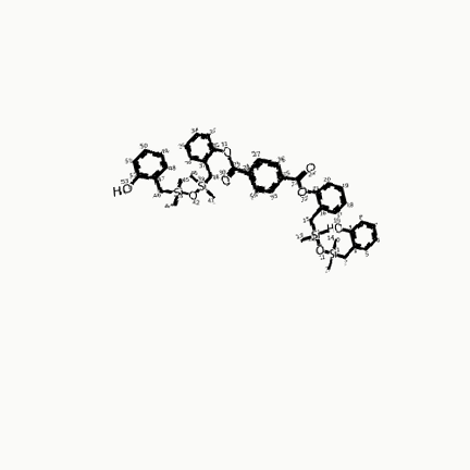 C[Si](C)(Cc1ccccc1O)O[Si](C)(C)Cc1ccccc1OC(=O)c1ccc(C(=O)Oc2ccccc2C[Si](C)(C)O[Si](C)(C)Cc2ccccc2O)cc1